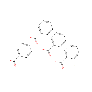 O=C([O-])c1ccccc1.O=C([O-])c1ccccc1.O=C([O-])c1ccccc1.O=C([O-])c1ccccc1.[Cu+2].[SH4+2]